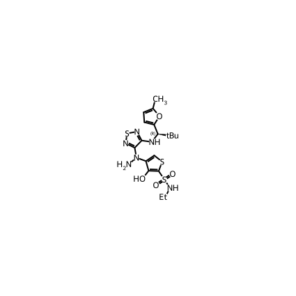 CCNS(=O)(=O)c1scc(N(N)c2nsnc2N[C@@H](c2ccc(C)o2)C(C)(C)C)c1O